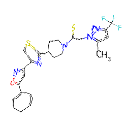 Cc1cc(C(F)(F)F)nn1CC(=S)N1CCC(c2nc(-c3cc(C4=CCCC=C4)on3)cs2)CC1